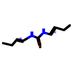 CC/C=C/NC(=S)N/C=C/CC